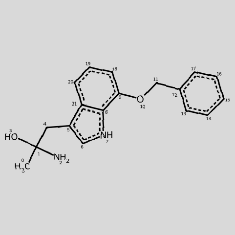 CC(N)(O)Cc1c[nH]c2c(OCc3ccccc3)cccc12